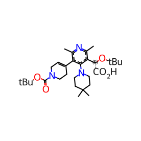 Cc1nc(C)c([C@H](OC(C)(C)C)C(=O)O)c(N2CCC(C)(C)CC2)c1C1=CCN(C(=O)OC(C)(C)C)CC1